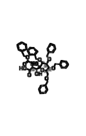 O=C(N[C@H](C(=O)O)C(O)[C@@]1(O)O[C@H](COCc2ccccc2)[C@@H](OCc2ccccc2)[C@H](OCc2ccccc2)[C@@H]1OCc1ccccc1)OCc1ccccc1